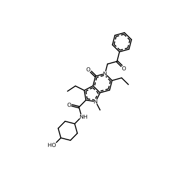 CCc1c(C(=O)NC2CCC(O)CC2)n(C)c2cc(CC)n(CC(=O)c3ccccc3)c(=O)c12